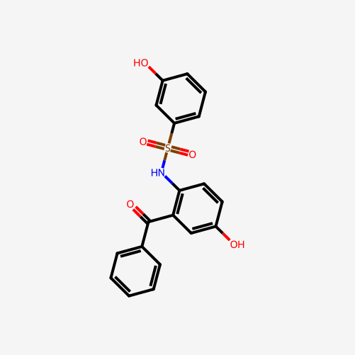 O=C(c1ccccc1)c1cc(O)ccc1NS(=O)(=O)c1cccc(O)c1